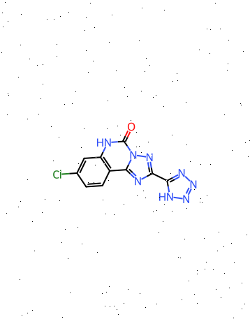 O=c1[nH]c2cc(Cl)ccc2c2nc(-c3nnn[nH]3)nn12